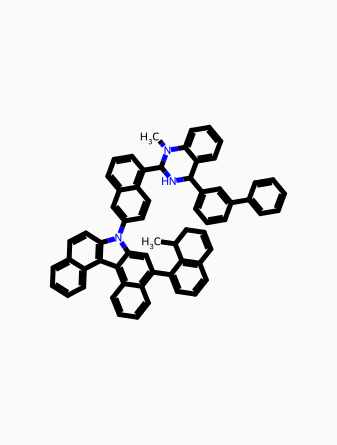 CC1CC=Cc2cccc(-c3cc4c(c5ccccc35)c3c5ccccc5ccc3n4-c3ccc4c(C5NC(c6cccc(-c7ccccc7)c6)c6ccccc6N5C)cccc4c3)c21